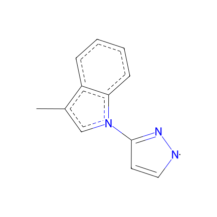 Cc1cn(C2=N[N]C=C2)c2ccccc12